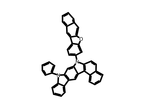 c1ccc(-n2c3ccccc3c3cc4c5c6ccccc6ccc5n(-c5ccc6c(c5)oc5cc7ccccc7cc56)c4cc32)cc1